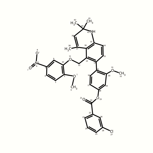 COc1ccc([N+](=O)[O-])cc1OCc1c(-c2ccc(OC(=O)c3cccc(Cl)c3)cc2OC)ccc2c1C(C)=CC(C)(C)N2